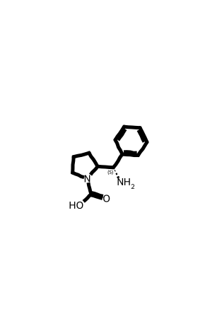 N[C@@H](c1ccccc1)C1CCCN1C(=O)O